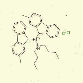 CCC[CH2][SnH]([CH2]CCC)[Hf+2]([CH]1c2ccccc2-c2ccc(C)cc21)[CH]1c2ccccc2-c2ccc(C)cc21.[Cl-].[Cl-]